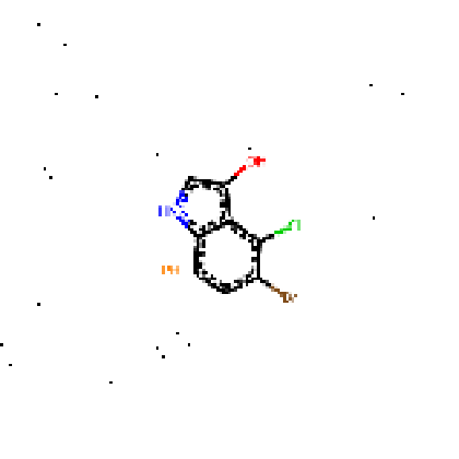 Oc1c[nH]c2ccc(Br)c(Cl)c12.P